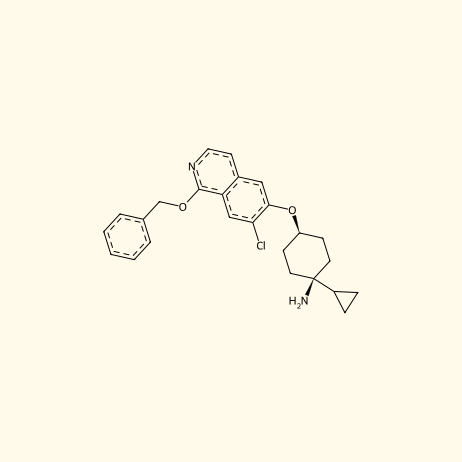 N[C@]1(C2CC2)CC[C@H](Oc2cc3ccnc(OCc4ccccc4)c3cc2Cl)CC1